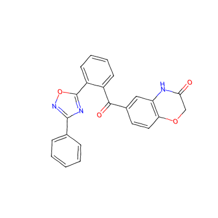 O=C1COc2ccc(C(=O)c3ccccc3-c3nc(-c4ccccc4)no3)cc2N1